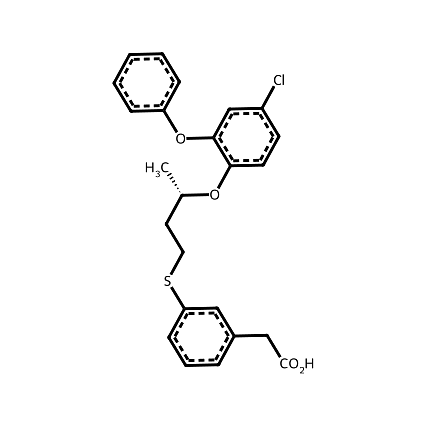 C[C@@H](CCSc1cccc(CC(=O)O)c1)Oc1ccc(Cl)cc1Oc1ccccc1